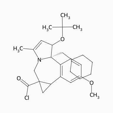 COc1ccc2c(c1)C1CC1(C(=O)Cl)CN1C(C)=CC(OC(C)(C)C)[C@@]21CC1CCCCC1